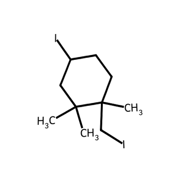 CC1(C)CC(I)CCC1(C)CI